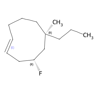 CCC[C@]1(C)CCC/C=C/C[C@@H](F)C1